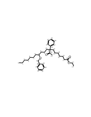 CCCCCCCC(CCCC(CCCCCCC(=O)OCC)(C(C)=O)c1ccccc1)OCc1ccccc1